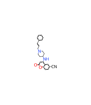 N#Cc1ccc2oc(=O)cc(NC3CCN(CC=Cc4ccccc4)CC3)c2c1